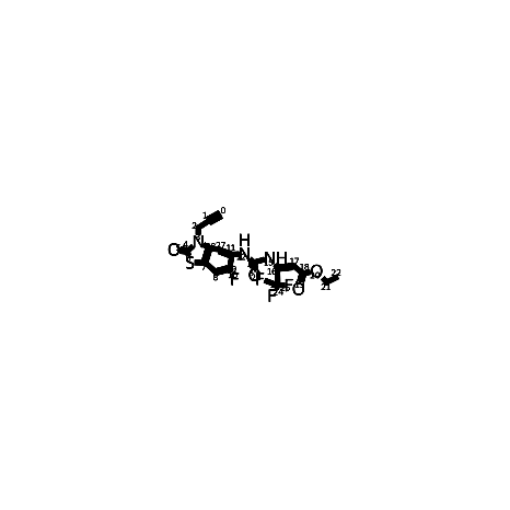 C#CCn1c(=O)sc2cc(F)c(NC(=O)N/C(=C/C(=O)OCC)C(F)(F)F)cc21